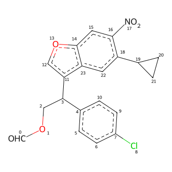 O=COCC(c1ccc(Cl)cc1)c1coc2cc([N+](=O)[O-])c(C3CC3)cc12